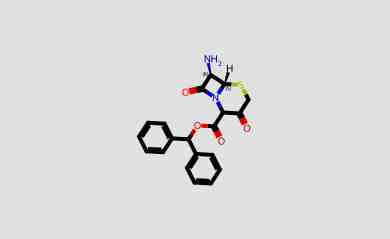 N[C@@H]1C(=O)N2C(C(=O)OC(c3ccccc3)c3ccccc3)C(=O)CS[C@@H]12